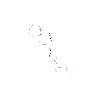 CC(C)(C)OC(=O)N1CC(c2ccc3cccnc3n2)C1